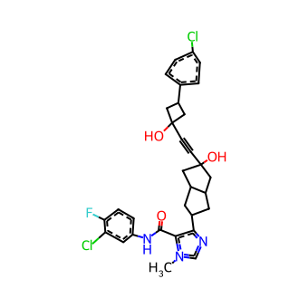 Cn1cnc(C2CC3CC(O)(C#CC4(O)CC(c5ccc(Cl)cc5)C4)CC3C2)c1C(=O)Nc1ccc(F)c(Cl)c1